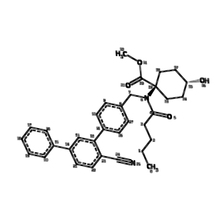 CCCCC(=O)N(Cc1ccc(-c2cc(-c3ccccc3)ccc2C#N)cc1)[C@]1(C(=O)OC)CC[C@@H](O)CC1